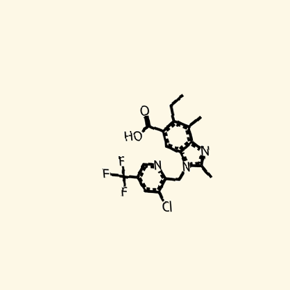 CCc1c(C(=O)O)cc2c(nc(C)n2Cc2ncc(C(F)(F)F)cc2Cl)c1C